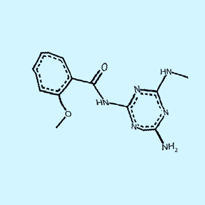 CNc1nc(N)nc(NC(=O)c2ccccc2OC)n1